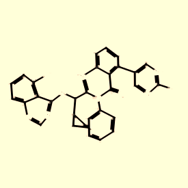 Nc1ncc(-c2cccc3nc(C(Nc4ncnc5cccc(F)c45)C4CC4)n(-c4ccccc4)c(=O)c23)cn1